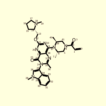 C=CC(=O)N1C[C@H](C)N(c2nc(OC[C@@H]3CCCN3C)nc3c(=O)n(-c4cn(C)c5ccccc45)c(C)nc23)[C@@H](C)C1